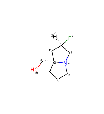 [2H][C@]1(F)CN2CCC[C@@]2(CO)C1